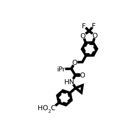 CC(C)C(OCc1ccc2c(c1)OC(F)(F)O2)C(=O)NC1(c2ccc(C(=O)O)cc2)CC1